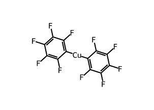 Fc1c(F)c(F)[c]([Cu][c]2c(F)c(F)c(F)c(F)c2F)c(F)c1F